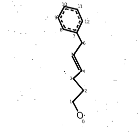 [O]CCCC=CCc1ccccc1